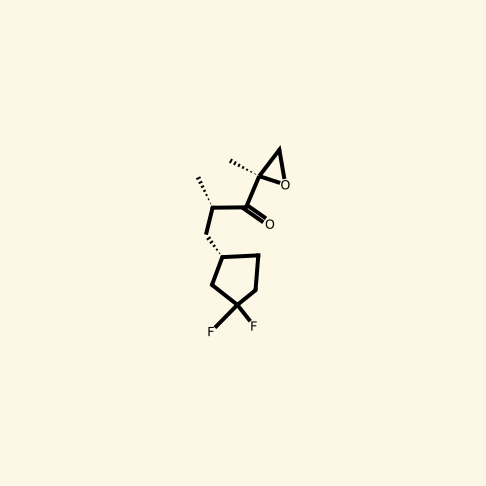 C[C@@H](C[C@@H]1CCC(F)(F)C1)C(=O)[C@@]1(C)CO1